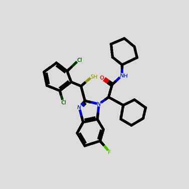 O=C(NC1CCCCC1)C(C1CCCCC1)n1c(C(S)c2c(Cl)cccc2Cl)nc2ccc(F)cc21